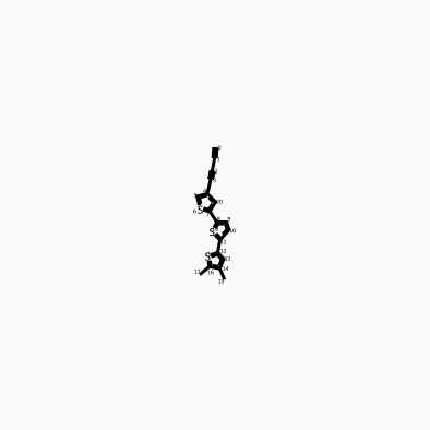 C#CC#Cc1csc(-c2ccc(-c3cc(C)c(C)s3)s2)c1